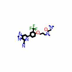 CN(C)CC(=O)N(C)CCCOc1ccc(-c2cc3c(ncn3C)c(C#N)n2)cc1C(F)(F)F